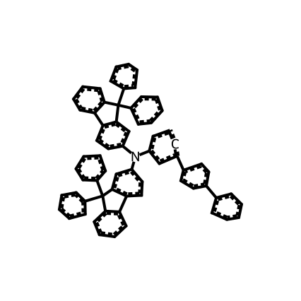 c1ccc(-c2ccc(-c3cccc(N(c4ccc5c(c4)C(c4ccccc4)(c4ccccc4)c4ccccc4-5)c4ccc5c(c4)C(c4ccccc4)(c4ccccc4)c4ccccc4-5)c3)cc2)cc1